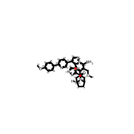 COCc1c(C2CC3CC[C@H](C2)N3C(=O)c2nnc[nH]2)nc2c(-c3ccc(-c4ccc(OC)cc4)nc3)cnn2c1N